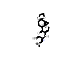 CN/C=C(\C=N)NC1=CC[C@@]23CC2(C)C2(CC[C@]3(C)C1=O)OCCO2